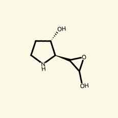 OC1OC1[C@H]1NCC[C@@H]1O